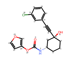 O=C(N[C@H]1CCC[C@@](O)(C#Cc2cccc(Cl)c2)C1)Oc1ccoc1